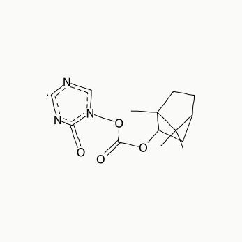 CC1(C)C2CCC1(C)C(OC(=O)On1cn[c]nc1=O)C2